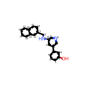 Oc1cccc(-c2cncc(NCc3ccc4ccccc4c3)c2)c1